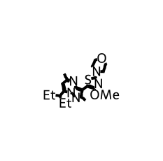 CCC(CC)c1cc(C)nc2c(-c3sc(N4CCOCC4)nc3OC)c(C)nn12